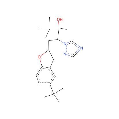 CC(C)(C)c1ccc2c(c1)CC(CC(n1cncn1)C(C)(O)C(C)(C)C)O2